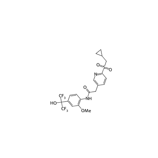 COc1cc(C(O)(C(F)(F)F)C(F)(F)F)ccc1NC(=O)Cc1ccc(S(=O)(=O)CC2CC2)nc1